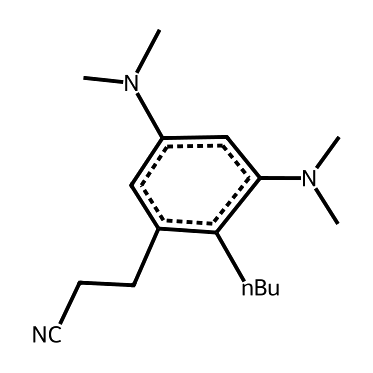 CCCCc1c(CCC#N)cc(N(C)C)cc1N(C)C